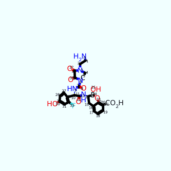 NCCN1CCN(C(=O)N[C@H](C(=O)N[C@H]2Cc3cccc(C(=O)O)c3OB2O)c2ccc(O)cc2F)C(=O)C1=O